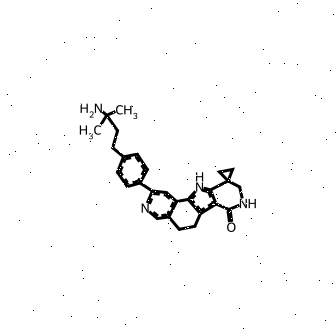 CC(C)(N)CCc1ccc(-c2cc3c(cn2)CCc2c-3[nH]c3c2C(=O)NCC32CC2)cc1